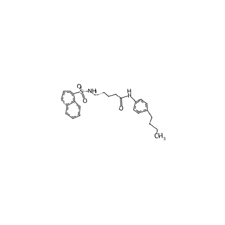 CCCCc1ccc(NC(=O)CCCCNS(=O)(=O)c2cccc3ccccc23)cc1